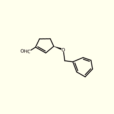 O=CC1=C[C@H](OCc2ccccc2)CC1